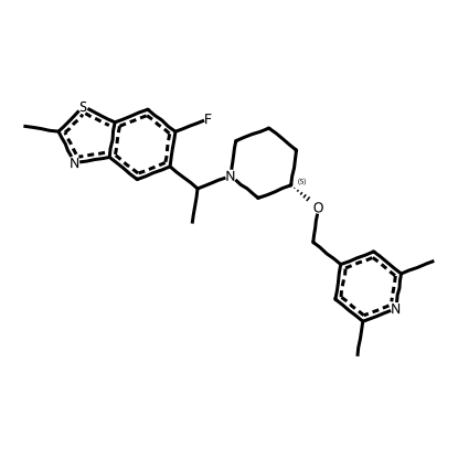 Cc1cc(CO[C@H]2CCCN(C(C)c3cc4nc(C)sc4cc3F)C2)cc(C)n1